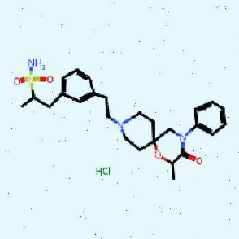 CC1OC2(CCN(CCc3cccc(CC(C)S(N)(=O)=O)c3)CC2)CN(c2ccccc2)C1=O.Cl